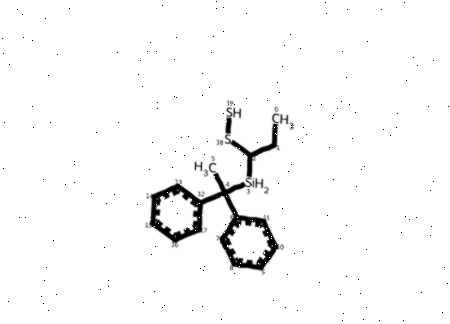 CCC([SiH2]C(C)(c1ccccc1)c1ccccc1)SS